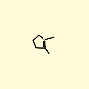 CC1=[Si](C)CCC1